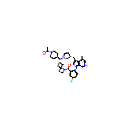 CC(=O)N1CCC(CN2CC[C@@H](Cc3cn(-c4ccc(F)cc4C(=O)N4CCC45CCC5)c4cncc(C)c34)C2)CC1